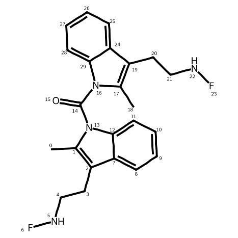 Cc1c(CCNF)c2ccccc2n1C(=O)n1c(C)c(CCNF)c2ccccc21